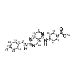 COC(=O)c1ccc(Nc2nccc3nc(NCc4ccc(C)cc4)ncc23)cc1